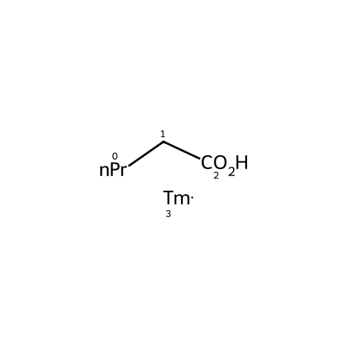 CCCCC(=O)O.[Tm]